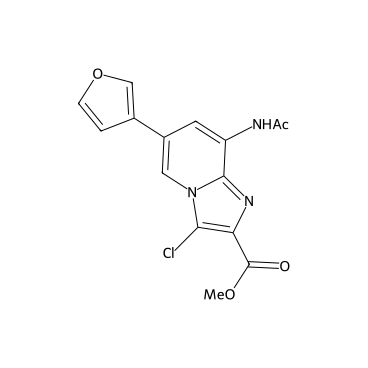 COC(=O)c1nc2c(NC(C)=O)cc(-c3ccoc3)cn2c1Cl